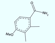 COc1ccc(C(N)=O)c(C)c1C